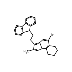 CC1=CC2C(=C1CCC1c3ccccc3-c3ccccc31)C=C(Br)C1=C2CCCC1